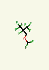 FC(F)OCC(F)(C(F)(F)F)C(F)(F)F